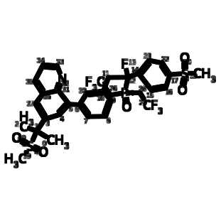 CC(C)(c1cc(-c2cccc(CC(F)(c3ccc(S(C)(=O)=O)cc3)P(=O)(CC(F)(F)F)CC(F)(F)F)c2)c2ncccc2c1)S(C)(=O)=O